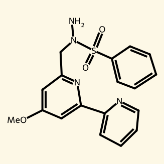 COc1cc(CN(N)S(=O)(=O)c2ccccc2)nc(-c2ccccn2)c1